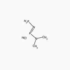 CN(C)P=NP.Cl